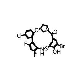 O=C1c2cc(Br)c(O)c(c2)SNc2cc(c(F)cc2F)-c2cc(Cl)ccc2OC2CCN1C2